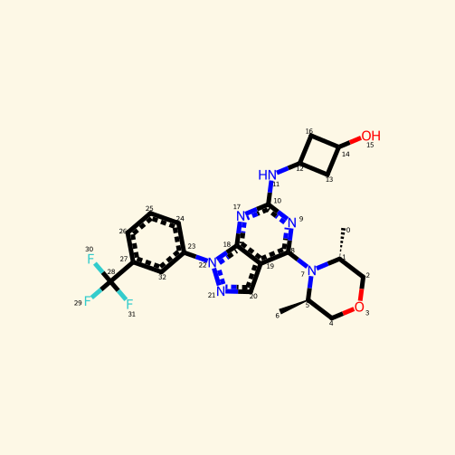 C[C@@H]1COC[C@@H](C)N1c1nc(NC2CC(O)C2)nc2c1cnn2-c1cccc(C(F)(F)F)c1